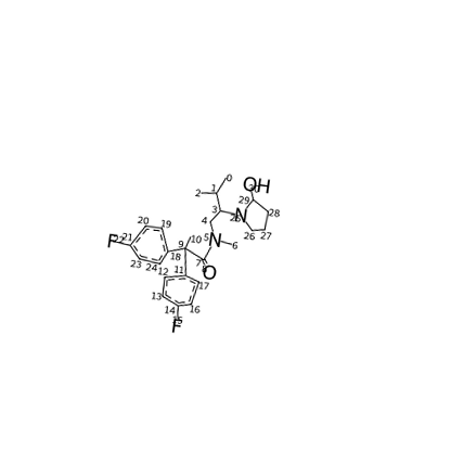 CC(C)C(CN(C)C(=O)C(C)(c1ccc(F)cc1)c1ccc(F)cc1)N1CCCC1O